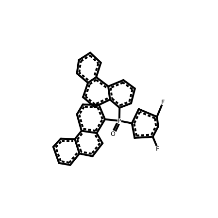 O=P(c1cc(F)cc(F)c1)(c1cccc2c1ccc1ccccc12)c1cccc2c1ccc1ccccc12